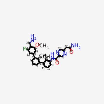 COc1cc(-c2cccc(-c3cccc(NC(=O)c4cnc(CC(N)=O)cn4)c3C)c2C)cc(F)c1CN